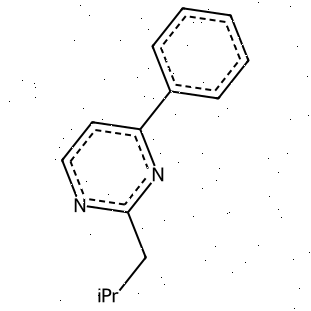 CC(C)Cc1nccc(-c2ccccc2)n1